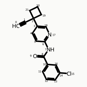 C#CC1(c2ccc(NC(=O)c3cccc(Cl)c3)nc2)CCC1